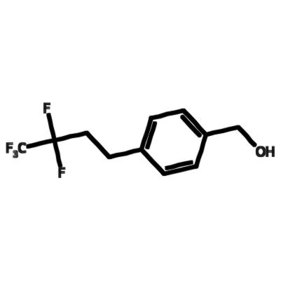 OCc1ccc(CCC(F)(F)C(F)(F)F)cc1